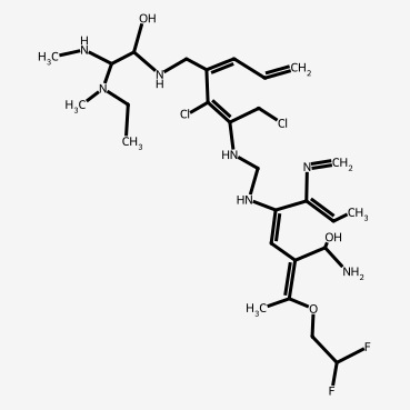 C=C/C=C(CNC(O)C(NC)N(C)CC)\C(Cl)=C(/CCl)NCN/C(=C/C(=C(\C)OCC(F)F)C(N)O)C(=CC)N=C